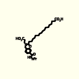 CCCNC(=O)c1ccc(CN(CCC(=O)O)C(=O)CCCCCCCCCCCCCCCCC(=O)O)cc1